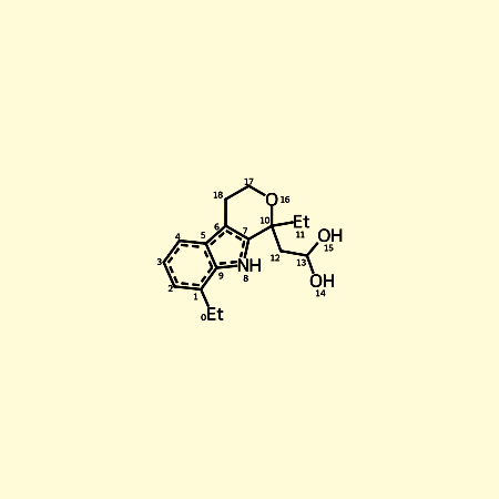 CCc1cccc2c3c([nH]c12)C(CC)(CC(O)O)OCC3